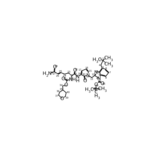 CC(C)(C)Cc1cccc2c1nc(Cn1cccc(NC(=O)[C@H](CC/C=C/C(N)=O)NC(=O)OCC3CCOCC3)c1=O)n2C(=O)OC(C)(C)C